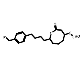 O=COC1CCCC(CCCCc2ccc(CBr)cc2)OC(=O)C1